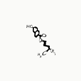 CC(C)CCCOC(=O)c1ccc2cc(O)ccc2c1